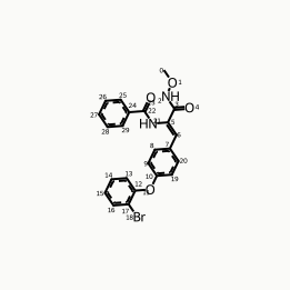 CONC(=O)/C(=C/c1ccc(Oc2ccccc2Br)cc1)NC(=O)c1ccccc1